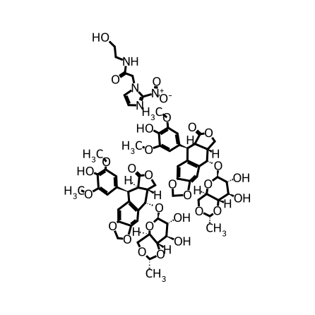 COc1cc([C@@H]2c3cc4c(cc3[C@@H](O[C@@H]3O[C@@H]5CO[C@@H](C)O[C@H]5[C@H](O)[C@H]3O)[C@H]3COC(=O)[C@H]23)OCO4)cc(OC)c1O.COc1cc([C@@H]2c3cc4c(cc3[C@@H](O[C@@H]3O[C@@H]5CO[C@@H](C)O[C@H]5[C@H](O)[C@H]3O)[C@H]3COC(=O)[C@H]23)OCO4)cc(OC)c1O.O=C(Cn1ccnc1[N+](=O)[O-])NCCO